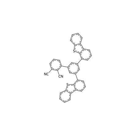 N#Cc1cccc(-c2cc(-c3cccc4c3sc3ccccc34)cc(-c3cccc4c3sc3ccccc34)c2)c1C#N